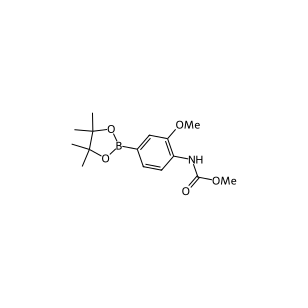 COC(=O)Nc1ccc(B2OC(C)(C)C(C)(C)O2)cc1OC